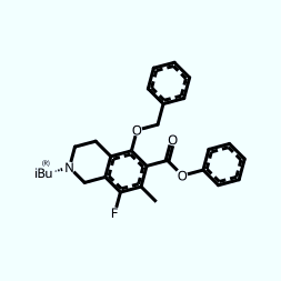 CC[C@@H](C)N1CCc2c(c(F)c(C)c(C(=O)Oc3ccccc3)c2OCc2ccccc2)C1